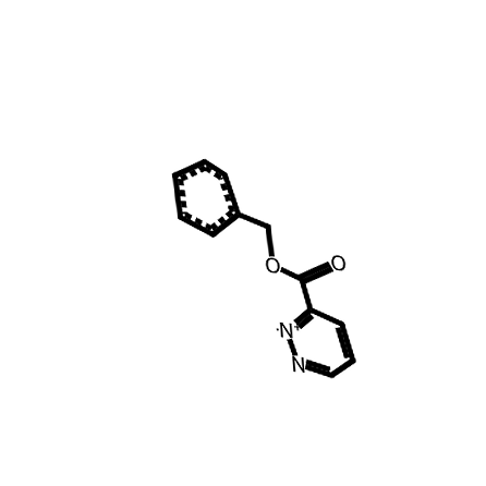 O=C(OCc1ccccc1)C1=[N+]N=CC=C1